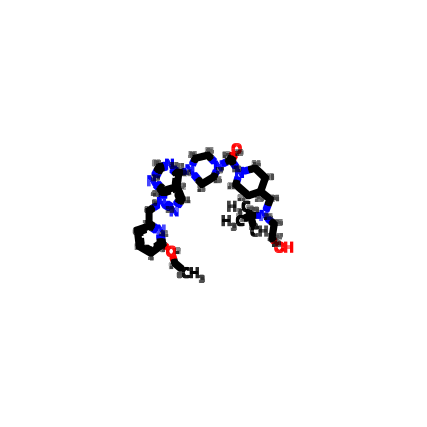 CCOc1cccc(Cn2ncc3c(N4CCN(C(=O)N5CCC(CN(CCO)C(C)(C)C)CC5)CC4)ncnc32)n1